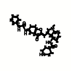 Cn1cc(C=C2Oc3ccc(NC(=O)Nc4cccnc4)cc3C2=O)c2c(NC(=O)C3CCNCC3)ccnc21